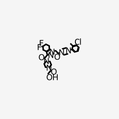 Cc1c(Cl)cccc1N1CCN(C(=O)Cn2nc(C(=O)N3CCN(C(=O)CO)CC3)c3c2CCC(F)(F)C3)CC1